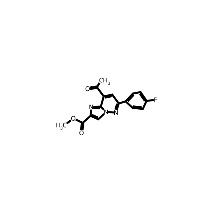 COC(=O)c1cn2nc(-c3ccc(F)cc3)cc(C(C)=O)c2n1